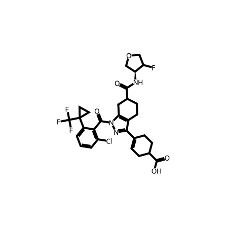 O=C(O)C1CC=C(c2nn(C(=O)c3c(Cl)cccc3C3(C(F)(F)F)CC3)c3c2CCC(C(=O)N[C@H]2COCC2F)C3)CC1